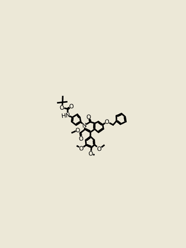 COC(=O)c1c(-c2cc(OC)c(OC)c(OC)c2)c2ccc(OCc3ccccc3)cc2c(=O)n1-c1ccc(NC(=O)OC(C)(C)C)cc1